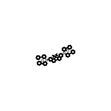 CC(C)(C)C1(C(C)(C)C)c2c(ccc3cc(N(c4cccc(-c5ccccc5)c4)c4cccc5c4oc4ccccc45)ccc23)-c2ccc3cc(N(c4cccc(-c5ccccc5)c4)c4cccc5c4oc4ccccc45)ccc3c21